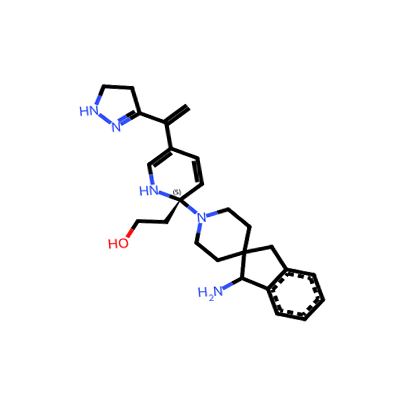 C=C(C1=CN[C@@](CCO)(N2CCC3(CC2)Cc2ccccc2C3N)C=C1)C1=NNCC1